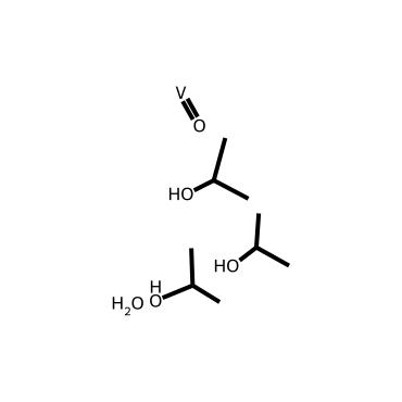 CC(C)O.CC(C)O.CC(C)O.O.[O]=[V]